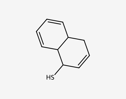 SC1C=CCC2C=CC=CC12